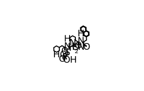 NC(=O)C(Cc1ccc2ccccc2c1)NC(=O)C1CCCCN1C(=O)C(CSCP(=O)(O)O)NC(=O)CC1CCCCC1